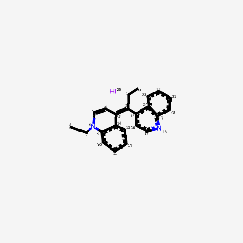 CCC(=C1C=CN(CC)c2ccccc21)c1ccnc2ccccc12.I